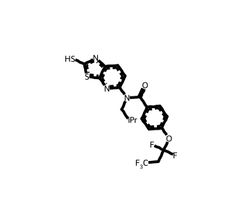 CC(C)CN(C(=O)c1ccc(OC(F)(F)CC(F)(F)F)cc1)c1ccc2nc(S)sc2n1